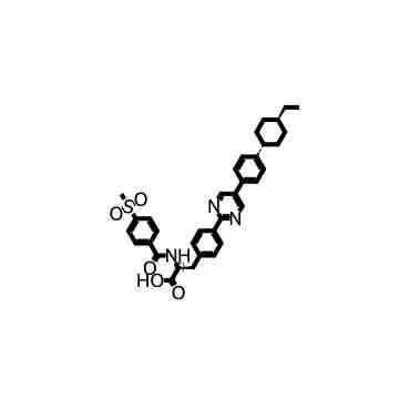 CC[C@H]1CC[C@H](c2ccc(-c3cnc(-c4ccc(C[C@H](NC(=O)c5ccc(S(C)(=O)=O)cc5)C(=O)O)cc4)nc3)cc2)CC1